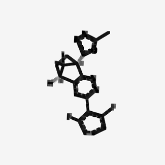 Cc1nnc([C@]23CC[C@H](c4cc(-c5c(F)cccc5F)nnc42)C3(C)C)o1